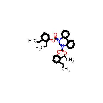 CCc1cccc(OC(=O)N2CN(C(=O)Oc3cccc(CC)c3CC)c3ccccc3-c3ccccc32)c1CC